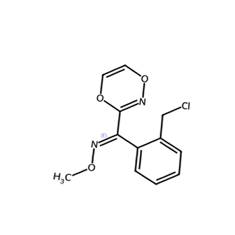 CO/N=C(/C1=NOC=CO1)c1ccccc1CCl